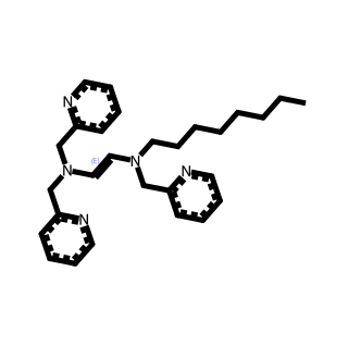 CCCCCCCCN(/C=C/N(Cc1ccccn1)Cc1ccccn1)Cc1ccccn1